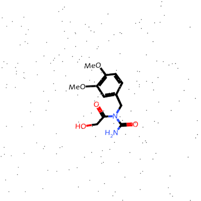 COc1ccc(CN(C(N)=O)C(=O)CO)cc1OC